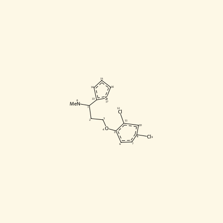 CNC(CCOc1ccc(Cl)cc1Cl)c1cccs1